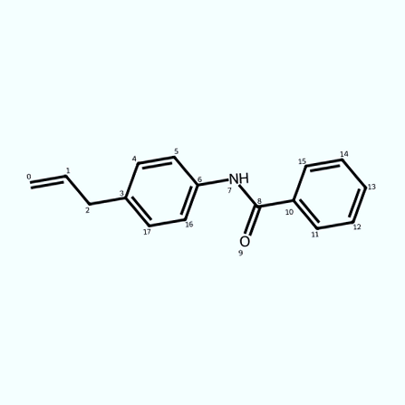 C=CCc1ccc(NC(=O)c2ccccc2)cc1